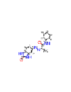 CC(=O)C(N=Nc1ccc2[nH]c(=O)[nH]c2c1)C(=O)Nc1ccccc1